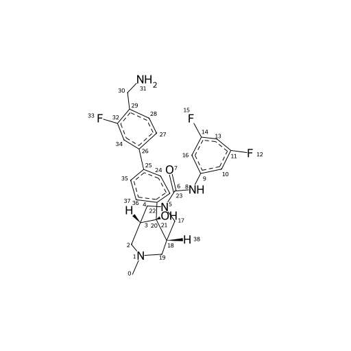 CN1C[C@@H]2CN(C(=O)Nc3cc(F)cc(F)c3)C[C@H](C1)[C@@]2(O)c1ccc(-c2ccc(CN)c(F)c2)cc1